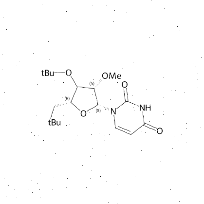 CO[C@H]1C(OC(C)(C)C)[C@@H](CC(C)(C)C)O[C@H]1n1ccc(=O)[nH]c1=O